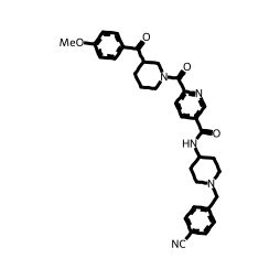 COc1ccc(C(=O)C2CCCN(C(=O)c3ccc(C(=O)NC4CCN(Cc5ccc(C#N)cc5)CC4)cn3)C2)cc1